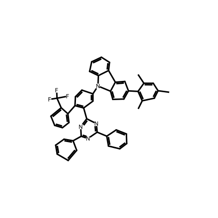 Cc1cc(C)c(-c2ccc3c(c2)c2ccccc2n3-c2ccc(-c3ccccc3C(F)(F)F)c(-c3nc(-c4ccccc4)nc(-c4ccccc4)n3)c2)c(C)c1